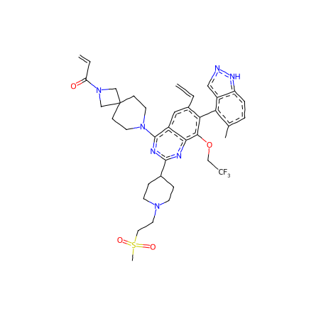 C=CC(=O)N1CC2(CCN(c3nc(C4CCN(CCS(C)(=O)=O)CC4)nc4c(OCC(F)(F)F)c(-c5c(C)ccc6[nH]ncc56)c(C=C)cc34)CC2)C1